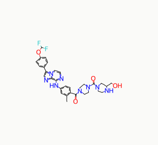 Cc1cc(Nc2nccn3c(-c4ccc(OC(F)F)cc4)cnc23)ccc1C(=O)N1CCN(C(=O)N2CCNC(CO)C2)CC1